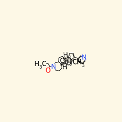 CCC(=O)N1CCC[C@@]2(C)C(CC[C@@H]3[C@@H]2CC[C@]2(C)C(c4cccnc4)=CC[C@@H]32)C1